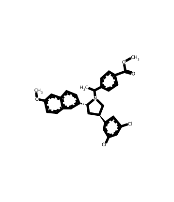 COC(=O)c1ccc(C(C)N2C[C@@H](c3cc(Cl)cc(Cl)c3)C[C@@H]2c2ccc3cc(OC)ccc3c2)cc1